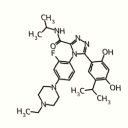 CCN1CCN(c2ccc(-n3c(C(=O)NC(C)C)nnc3-c3cc(C(C)C)c(O)cc3O)c(F)c2)CC1